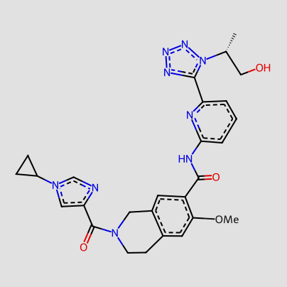 COc1cc2c(cc1C(=O)Nc1cccc(-c3nnnn3[C@H](C)CO)n1)CN(C(=O)c1cn(C3CC3)cn1)CC2